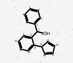 OC(c1ccccc1)c1ccccc1C1C=CC=C1